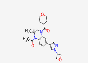 CC(=O)N1c2ccc(-c3cnn(C4COC4)c3)cc2N(C(=O)C2CCOCC2)C[C@@H]1C